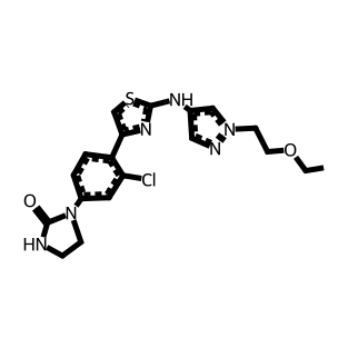 CCOCCn1cc(Nc2nc(-c3ccc(N4CCNC4=O)cc3Cl)cs2)cn1